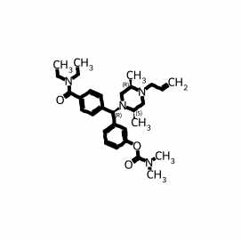 C=CCN1C[C@H](C)N([C@H](c2ccc(C(=O)N(CC)CC)cc2)c2cccc(OC(=O)N(C)C)c2)C[C@H]1C